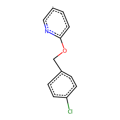 Clc1ccc(COc2cc[c]cn2)cc1